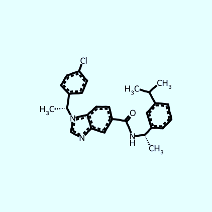 CC(C)c1cccc([C@H](C)NC(=O)c2ccc3c(c2)ncn3[C@H](C)c2ccc(Cl)cc2)c1